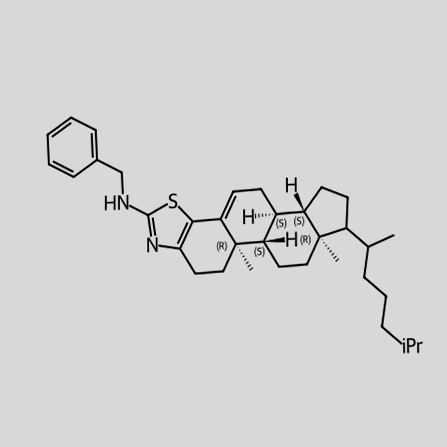 CC(C)CCCC(C)C1CC[C@H]2[C@@H]3CC=C4c5sc(NCc6ccccc6)nc5CC[C@]4(C)[C@H]3CC[C@]12C